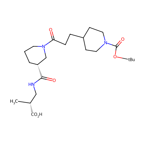 C[C@H](CNC(=O)[C@@H]1CCCN(C(=O)CCC2CCN(C(=O)OC(C)(C)C)CC2)C1)C(=O)O